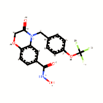 O=C(NO)c1ccc2c(c1)N(Cc1ccc(OC(F)(F)F)cc1)C(=O)CO2